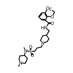 CN1CCC(N(C)S(=O)(=O)CCCN2CCC(CNC(=O)c3cccc4c3OCCO4)CC2)CC1